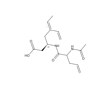 C=CCC(NC(C)=O)C(=O)N[C@@H](CC(=O)O)C/C(C=C)=C/C